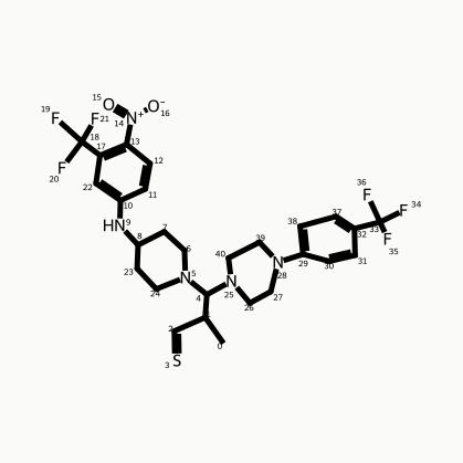 CC(C=S)C(N1CCC(Nc2ccc([N+](=O)[O-])c(C(F)(F)F)c2)CC1)N1CCN(c2ccc(C(F)(F)F)cc2)CC1